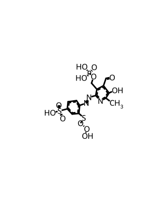 Cc1nc(/N=N/c2ccc(S(=O)(=O)O)cc2SOOO)c(COP(=O)(O)O)c(C=O)c1O